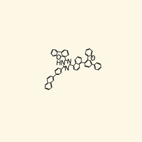 c1ccc(-c2ccc(-c3cccc4c(C5=NC(c6cccc7c6oc6ccccc67)NC(c6ccc(-c7ccc8ccccc8c7)cc6)=N5)cccc34)c3c2oc2ccccc23)cc1